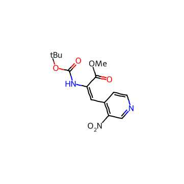 COC(=O)/C(=C\c1ccncc1[N+](=O)[O-])NC(=O)OC(C)(C)C